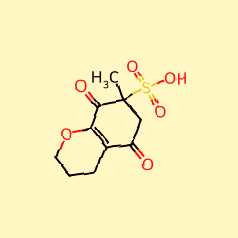 CC1(S(=O)(=O)O)CC(=O)C2=C(OCCC2)C1=O